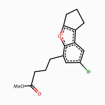 COC(=O)CCCc1cc(Br)cc2c3c(oc12)CCC3